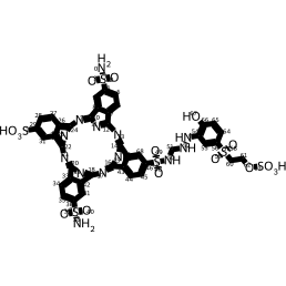 NS(=O)(=O)c1ccc2c(c1)-c1nc-2nc2[nH]c(nc3nc(nc4[nH]c(n1)c1ccc(S(=O)(=O)O)cc41)-c1ccc(S(N)(=O)=O)cc1-3)c1ccc(S(=O)(=O)NCNNc3cc(S(=O)(=O)CCOS(=O)(=O)O)ccc3O)cc21